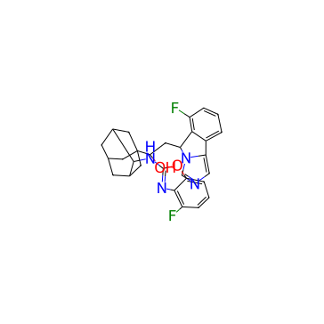 OC(CC1c2c(F)cccc2-c2cncn21)C12CC3CC(C1)C(Nc1nc4c(F)cccc4o1)C(C3)C2